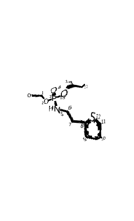 CCOP(=O)(NCCc1cccs1)OCC